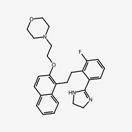 Fc1cccc(C2=NCCN2)c1CCc1c(OCCN2CCOCC2)ccc2ccccc12